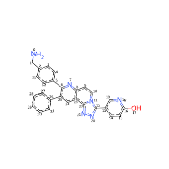 NCc1ccc(-c2nc3ccn4c(-c5ccc(O)nc5)nnc4c3cc2-c2ccccc2)cc1